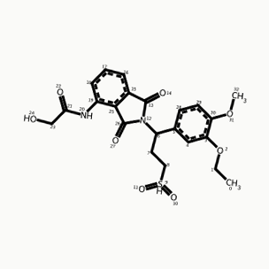 CCOc1cc(C(CC[SH](=O)=O)N2C(=O)c3cccc(NC(=O)CO)c3C2=O)ccc1OC